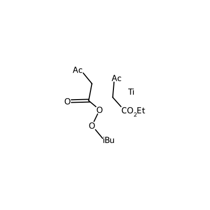 CCC(C)OOC(=O)CC(C)=O.CCOC(=O)CC(C)=O.[Ti]